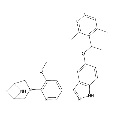 COc1cc(-c2n[nH]c3ccc(OC(C)c4c(C)cnnc4C)cc23)cnc1N1CC2CC(C1)N2